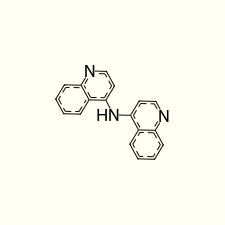 c1ccc2c(Nc3ccnc4ccccc34)ccnc2c1